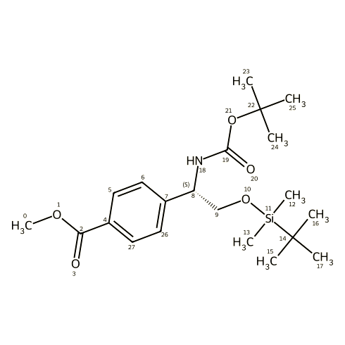 COC(=O)c1ccc([C@@H](CO[Si](C)(C)C(C)(C)C)NC(=O)OC(C)(C)C)cc1